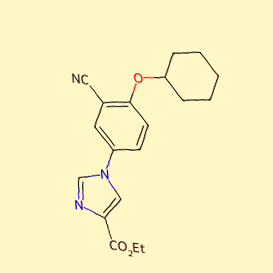 CCOC(=O)c1cn(-c2ccc(OC3CCCCC3)c(C#N)c2)cn1